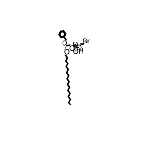 CCCCCCCCCCCCCCCCCCOC[C@@H](COP(=O)(O)OCCBr)OCc1ccccc1